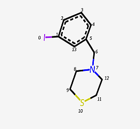 Ic1cccc(CN2CCSCC2)c1